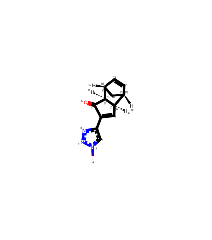 O=C1C(c2cn(I)nn2)=C[C@H]2[C@@H]1[C@@H]1C=C[C@H]2C1